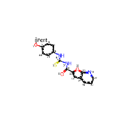 CCCCCOc1ccc(NC(=S)NC(=O)c2cc3cccnc3o2)cc1